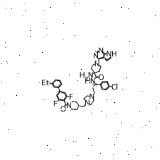 CCc1cccc(-c2cc(F)c(C(=O)N3CCC(CN4CCN(CC[C@H](NC(=O)C5(N)CCN(c6ncnc7[nH]ccc67)CC5)c5ccc(Cl)cc5)CC4)CC3)c(F)c2)c1